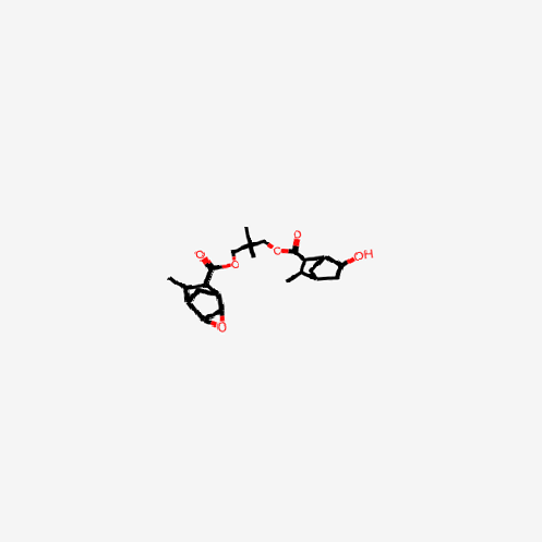 CC1C2CC(O)C(C2)C1C(=O)OCC(C)(C)COC(=O)C1C(C)C2CC1C1OC21